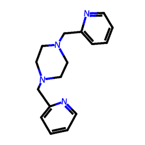 c1ccc(CN2CCN(Cc3ccccn3)CC2)nc1